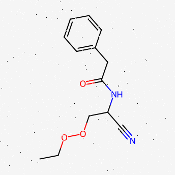 CCOOCC(C#N)NC(=O)Cc1ccccc1